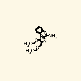 CCOCC1N=C2C(N)=Nc3ccccc3N2C1OCC